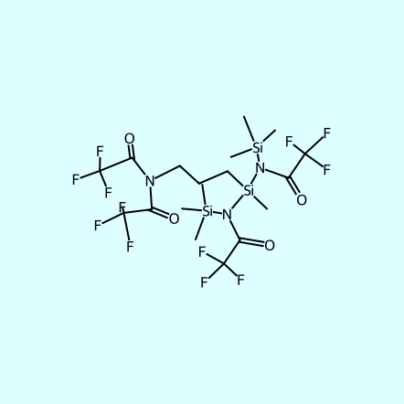 C[Si](C)(C)N(C(=O)C(F)(F)F)[Si](C)(CCCN(C(=O)C(F)(F)F)C(=O)C(F)(F)F)N(C(=O)C(F)(F)F)[Si](C)(C)C